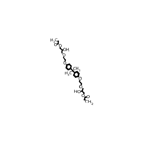 C=CC(=O)OCC(O)COCCOc1ccc(C(C)(C)c2ccc(OCCOCC(O)COC(=O)C=C)cc2)cc1